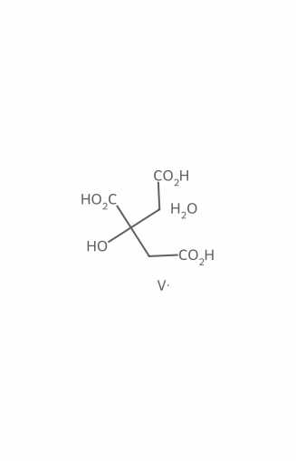 O.O=C(O)CC(O)(CC(=O)O)C(=O)O.[V]